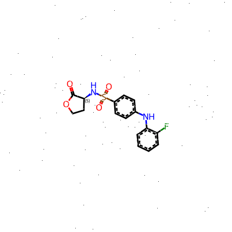 O=C1OCC[C@@H]1NS(=O)(=O)c1ccc(Nc2ccccc2F)cc1